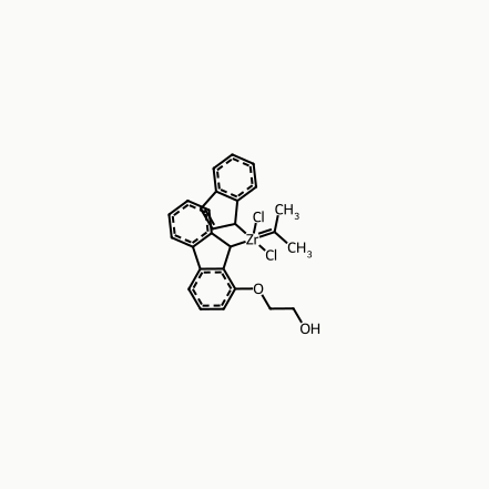 C[C](C)=[Zr]([Cl])([Cl])([CH]1C=Cc2ccccc21)[CH]1c2ccccc2-c2cccc(OCCO)c21